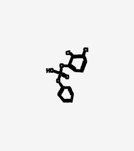 O=P(O)(Oc1ccccc1)Oc1cccc(Cl)c1Cl